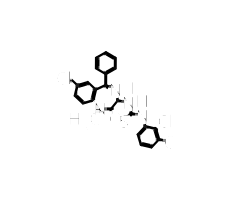 CN1C(=O)C(NC(=S)Nc2cccc(Cl)c2Cl)N=C(c2ccccc2)c2cc(Cl)ccc21